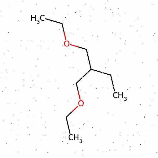 CCOCC(CC)COCC